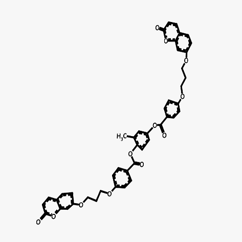 Cc1cc(OC(=O)c2ccc(OCCCOc3ccc4ccc(=O)oc4c3)cc2)ccc1OC(=O)c1ccc(OCCCOc2ccc3ccc(=O)oc3c2)cc1